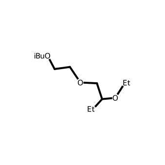 CCOC(CC)COCCOCC(C)C